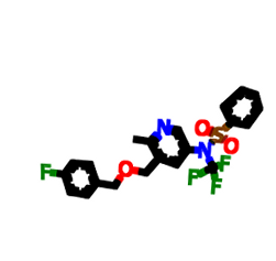 Cc1ncc(N(C(F)(F)F)S(=O)(=O)c2ccccc2)cc1COCc1ccc(F)cc1